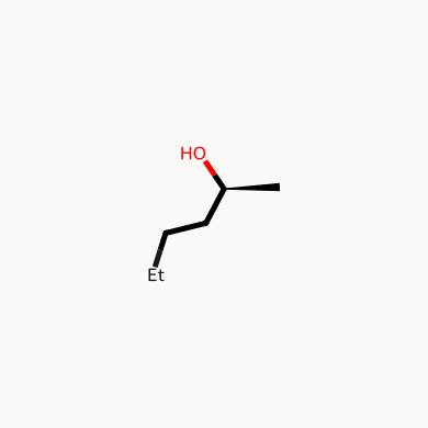 [CH2]CCC[C@H](C)O